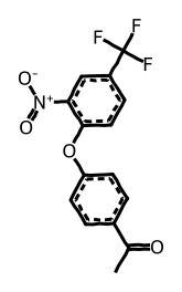 CC(=O)c1ccc(Oc2ccc(C(F)(F)F)cc2[N+](=O)[O-])cc1